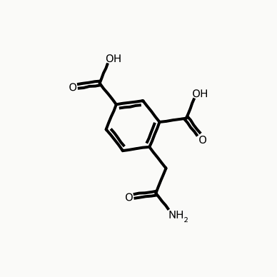 NC(=O)Cc1ccc(C(=O)O)cc1C(=O)O